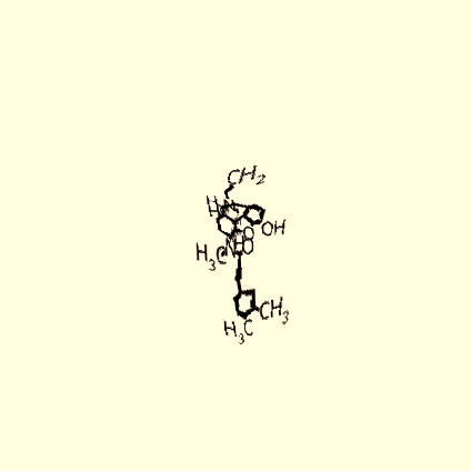 C=CCN1CC[C@]23c4c5ccc(O)c4O[C@H]2[C@H](N(C)C(=O)C#Cc2ccc(C)c(C)c2)CC[C@H]3[C@H]1C5